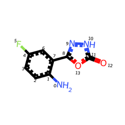 Nc1ccc(F)cc1-c1n[nH]c(=O)o1